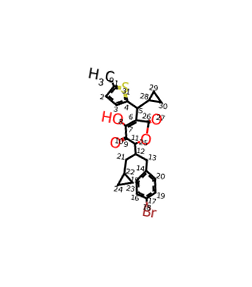 Cc1ccc(C(C2=C(O)C(=O)C(C(Cc3ccc(Br)cc3)CC3CC3)OC2=O)C2CC2)s1